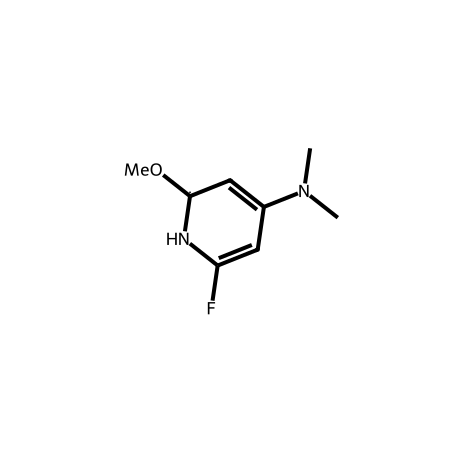 CO[C]1C=C(N(C)C)C=C(F)N1